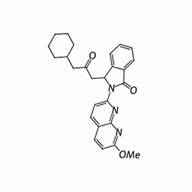 COc1ccc2ccc(N3C(=O)c4ccccc4C3CC(=O)CC3CCCCC3)nc2n1